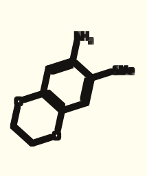 CSc1cc2c(cc1N)OCCO2